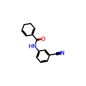 N#Cc1cccc(NC(=O)C2=CCCC=C2)c1